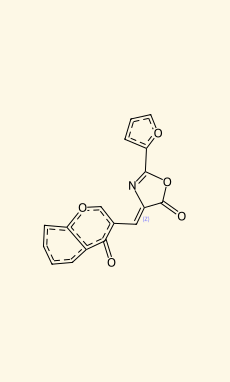 O=C1OC(c2ccco2)=N/C1=C\c1coc2ccccc2c1=O